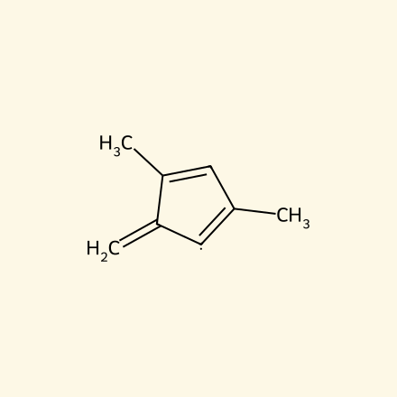 C=C1[C]=C(C)C=C1C